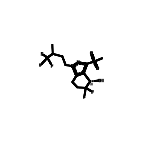 CC(CCn1nc(S(C)(=O)=O)c2c1CCC(F)(F)[C@H]2O)C(F)(F)F